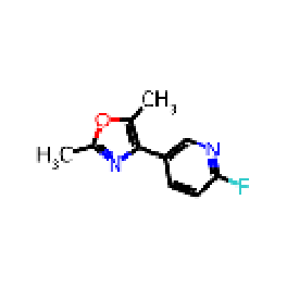 Cc1nc(-c2ccc(F)nc2)c(C)o1